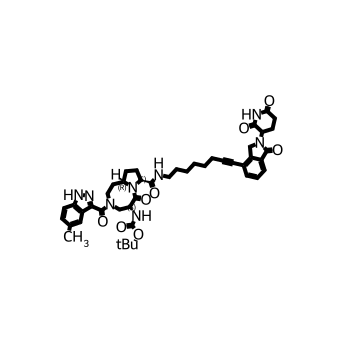 Cc1ccc2[nH]nc(C(=O)N3CC[C@H]4CC[C@@H](C(=O)NCCCCCCC#Cc5cccc6c5CN(C5CCC(=O)NC5=O)C6=O)N4C(=O)[C@@H](NC(=O)OC(C)(C)C)C3)c2c1